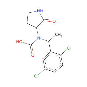 CC(c1cc(Cl)ccc1Cl)N(C(=O)O)C1CCNC1=O